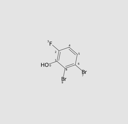 Oc1c(F)ccc(Br)c1Br